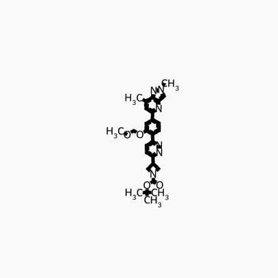 COCOc1cc(-c2cc(C)c3nn(C)cc3n2)ccc1-c1ccc(C2CN(C(=O)OC(C)(C)C)C2)nn1